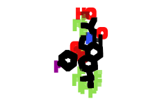 O=C(C(CO)C(F)(F)F)N1CC[C@@]2(S(=O)(=O)c3ccc(I)cc3)c3ccc(C(F)(C(F)(F)F)C(F)(F)F)cc3CC[C@@H]12